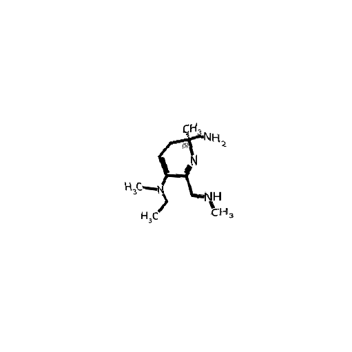 CCN(C)C1=CC[C@@](C)(N)N=C1CNC